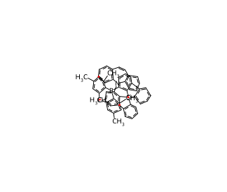 Cc1cc(C)c(B(c2cccc3c2[Si]2(c4ccccc4-3)c3ccccc3-c3cccc(N4c5ccccc5C=Cc5ccccc54)c32)c2c(C)cc(C)cc2C)c(C)c1